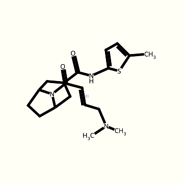 Cc1ccc(NC(=O)C2CC3CCC(C2)N3C(=O)/C=C/CN(C)C)s1